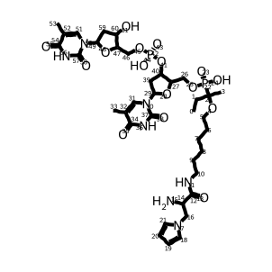 CCC(C)(OCCCCCCNC(=O)C(N)Cn1cccc1)P(=O)(O)OCC1OC(n2cc(C)c(=O)[nH]c2=O)CC1OP(=O)(O)OCC1OC(n2cc(C)c(=O)[nH]c2=O)CC1O